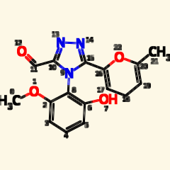 COc1cccc(O)c1-n1c(C=O)nnc1C1=CCC=C(C)O1